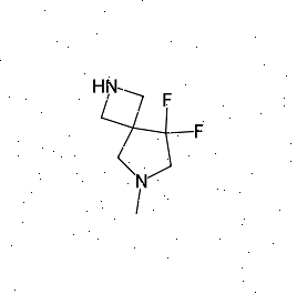 CN1CC(F)(F)C2(CNC2)C1